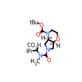 CC(C)C(C(=O)O)N(C)C(=O)N1C[C@@H]2OCCN(C(=O)OC(C)(C)C)[C@@H]2C1